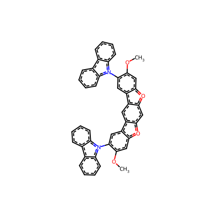 COc1cc2oc3cc4oc5cc(OC)c(-n6c7ccccc7c7ccccc76)cc5c4cc3c2cc1-n1c2ccccc2c2ccccc21